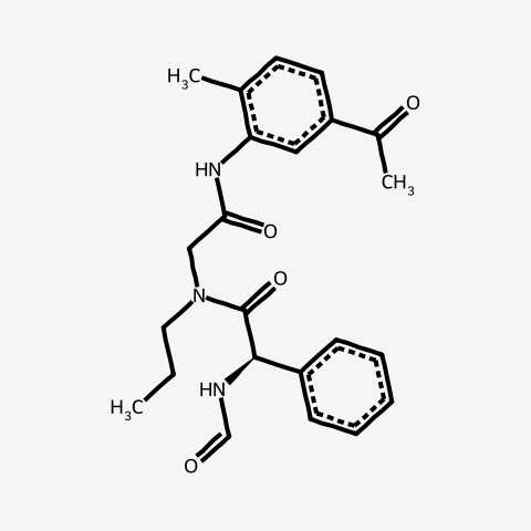 CCCN(CC(=O)Nc1cc(C(C)=O)ccc1C)C(=O)[C@H](NC=O)c1ccccc1